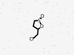 O=S1CCC(CCl)O1